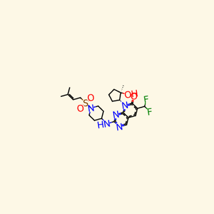 CC(C)=CCS(=O)(=O)N1CCC(Nc2ncc3cc(C(F)F)c(=O)n([C@@H]4CCC[C@@]4(C)O)c3n2)CC1